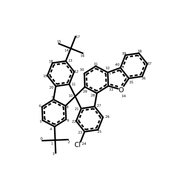 CC(C)(C)c1ccc2c(c1)C1(c3cc(C(C)(C)C)ccc3-2)c2cc(Cl)ccc2-c2c1ccc1c2oc2ccccc21